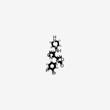 O=c1onc(-c2nonc2NN2CCNCC2)n1-c1ccc(F)c(Br)c1